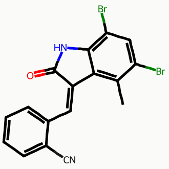 Cc1c(Br)cc(Br)c2c1C(=Cc1ccccc1C#N)C(=O)N2